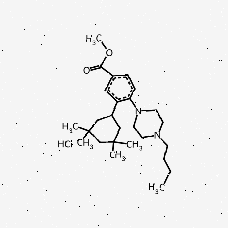 CCCCN1CCN(c2ccc(C(=O)OC)cc2C2CC(C)(C)CC(C)(C)C2)CC1.Cl